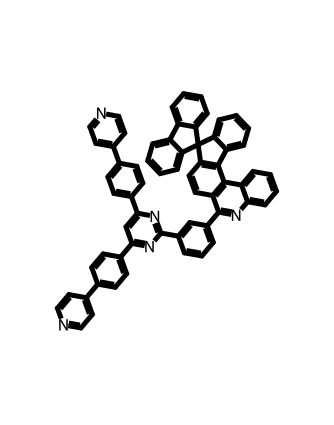 c1cc(-c2nc(-c3ccc(-c4ccncc4)cc3)cc(-c3ccc(-c4ccncc4)cc3)n2)cc(-c2nc3ccccc3c3c4c(ccc23)C2(c3ccccc3-c3ccccc32)c2ccccc2-4)c1